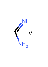 N=CN.[V]